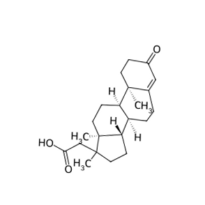 CC1(CC(=O)O)CC[C@H]2[C@@H]3CCC4=CC(=O)CC[C@]4(C)[C@@H]3CC[C@@]21C